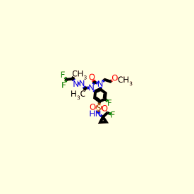 COCCn1c(=O)n(/C(C)=N/N=C(\C)C(F)F)c2cc(S(=O)(=O)NC3(CF)CC3)c(F)cc21